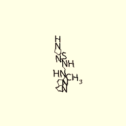 CC(NCCNc1nc2c(s1)CNCC2)c1ccc2cccnc2n1